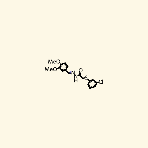 COc1ccc(/C=N/NC(=O)CSc2cccc(Cl)c2)cc1OC